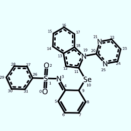 O=S(=O)(N=C1C=CC=CC1[Se]c1cc2ccccc2n1-c1ncccn1)c1ccccc1